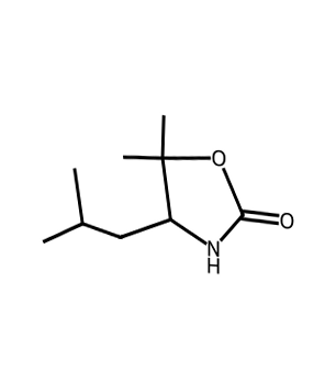 CC(C)CC1NC(=O)OC1(C)C